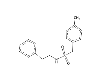 Cc1ccc(CS(=O)(=O)NCCc2ccccc2)cc1